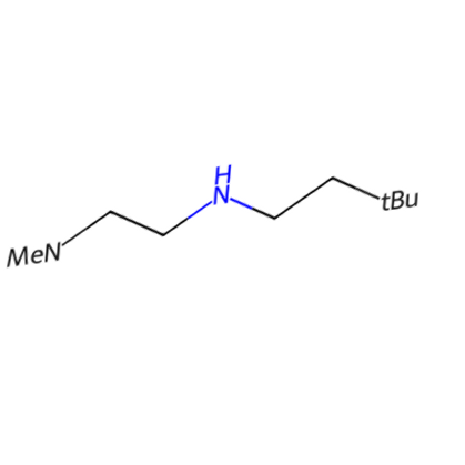 CNCCNCCC(C)(C)C